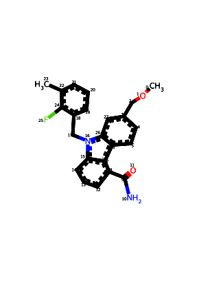 COCc1c[c]c2c3c(C(N)=O)cccc3n(Cc3cccc(C)c3F)c2c1